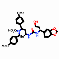 CCCC[C@@H](CC(c1ccc(OC)cc1)N(Cc1ccc(OC)cc1)C(=O)O)NC(=O)N[C@@H](CCO)c1ccc2c(c1)OCO2